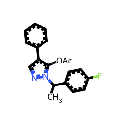 CC(=O)Oc1c(-c2ccccc2)cnn1C(C)c1ccc(F)cc1